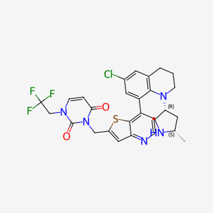 C[C@H]1C[C@@H](N2CCCc3cc(Cl)cc(-c4ccnc5cc(Cn6c(=O)ccn(CC(F)(F)F)c6=O)sc45)c32)CN1